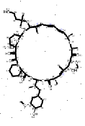 CO[C@@H]1CC(C[C@@H](C)C2CC(=O)[C@H](C)/C=C(\C)[C@@H](O)[C@@H](OC)C(=O)[C@H](C)C[C@H](C)/C=C/C=C/C=C(\C)C(OC(C)(C)CCO)C[C@@H]3CC[C@@H](C)[C@@](O)(O3)C(=O)C(=O)N3CCCC[C@H]3C(=O)O2)CC[C@H]1O